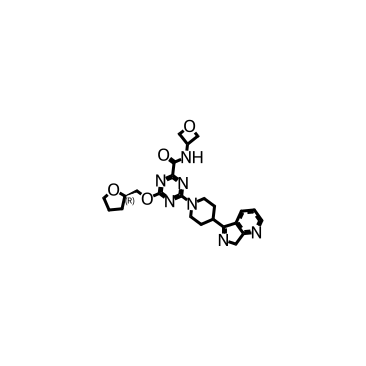 O=C(NC1COC1)c1nc(OC[C@H]2CCCO2)nc(N2CCC(C3=NCc4ncccc43)CC2)n1